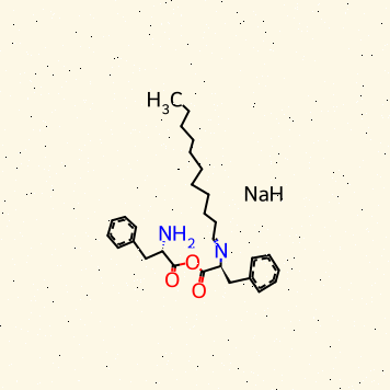 CCCCCCCCCCC=N[C@@H](Cc1ccccc1)C(=O)OC(=O)[C@@H](N)Cc1ccccc1.[NaH]